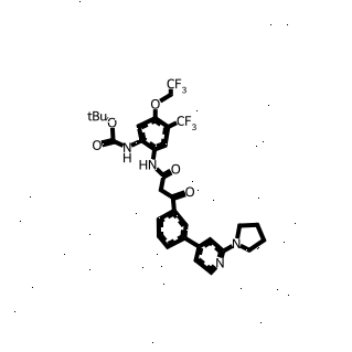 CC(C)(C)OC(=O)Nc1cc(OCC(F)(F)F)c(C(F)(F)F)cc1NC(=O)CC(=O)c1cccc(-c2ccnc(N3CCCC3)c2)c1